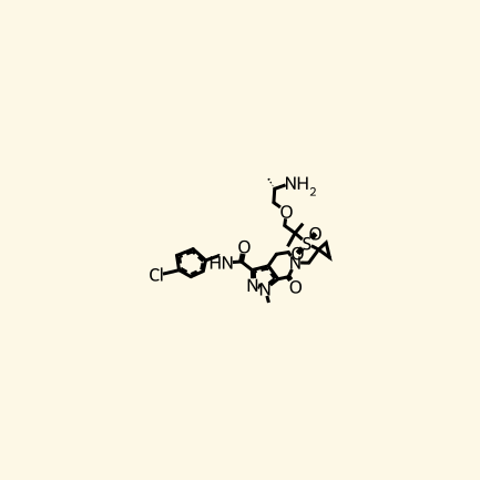 C[C@H](N)COCC(C)(C)S(=O)(=O)C1(CN2CCc3c(C(=O)NCc4ccc(Cl)cc4)nn(C)c3C2=O)CC1